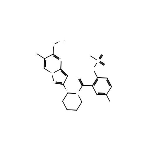 CC[C@H](C)Nc1nc2cc([C@@H]3CCCCN3C(=O)c3cc(Cl)ccc3SS(C)(=O)=O)nn2cc1C